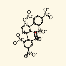 O=[N+]([O-])c1cc([N+](=O)[O-])c(-c2ncnc(-c3c([N+](=O)[O-])cc([N+](=O)[O-])cc3[N+](=O)[O-])c2[N+](=O)[O-])c([N+](=O)[O-])c1